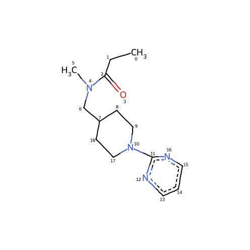 CCC(=O)N(C)CC1CCN(c2ncccn2)CC1